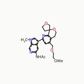 COCCOCc1cc(-c2cn(C)c3cnc(NC(C)=O)cc23)nc2c1CCOC21CCOC1